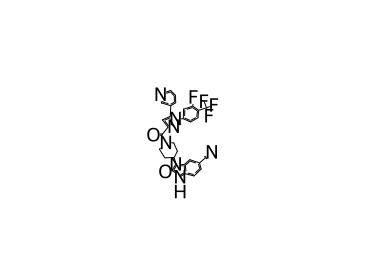 N#Cc1ccc2[nH]c(=O)n(C3CCN(C(=O)c4cc(-c5cccnc5)n(-c5ccc(C(F)(F)F)c(F)c5)n4)CC3)c2c1